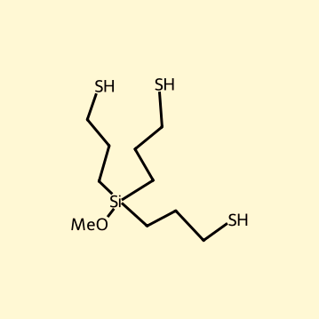 CO[Si](CCCS)(CCCS)CCCS